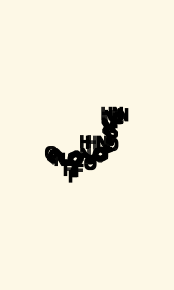 Cc1ccc(C(=O)Nc2ccc(CN3CCOCC3)c(C(F)(F)F)c2)cc1NC(=O)c1cc2cnc3[nH]ncc3c2s1